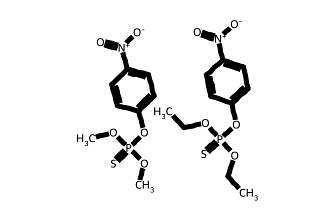 CCOP(=S)(OCC)Oc1ccc([N+](=O)[O-])cc1.COP(=S)(OC)Oc1ccc([N+](=O)[O-])cc1